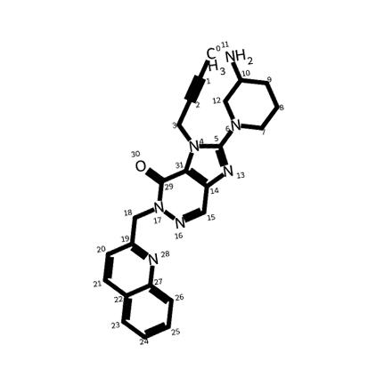 CC#CCn1c(N2CCCC(N)C2)nc2cnn(Cc3ccc4ccccc4n3)c(=O)c21